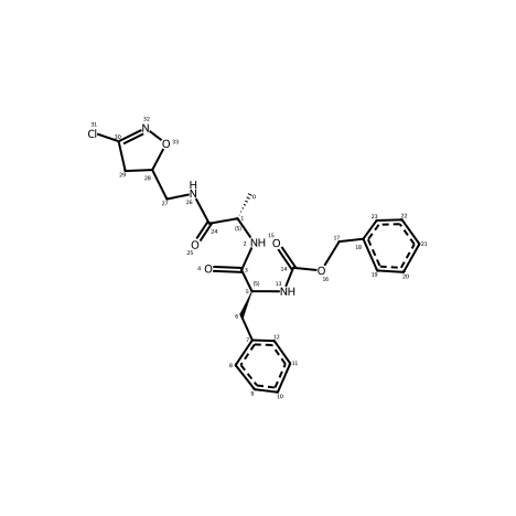 C[C@H](NC(=O)[C@H](Cc1ccccc1)NC(=O)OCc1ccccc1)C(=O)NCC1CC(Cl)=NO1